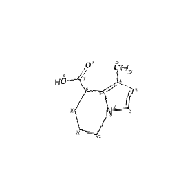 Cc1ccn2c1C(C(=O)O)CCC2